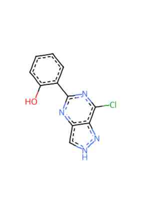 Oc1ccccc1-c1nc(Cl)c2n[nH]cc2n1